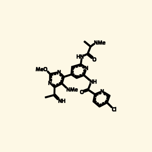 CNc1c(C(C)=N)nc(OC)nc1-c1cc(NC(=O)c2ccc(Cl)cn2)nc(NC(=O)C(C)NC)c1